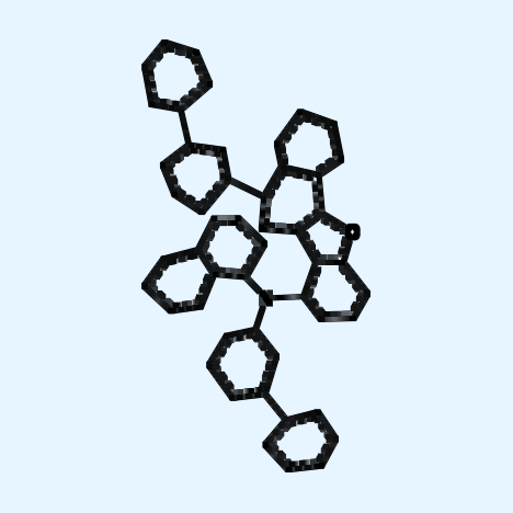 c1ccc(-c2cccc(-c3cc4c(oc5cccc(N(c6cccc(-c7ccccc7)c6)c6cccc7ccccc67)c54)c4ccccc34)c2)cc1